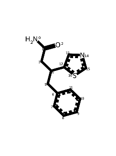 NC(=O)CC(Cc1ccccc1)c1cncs1